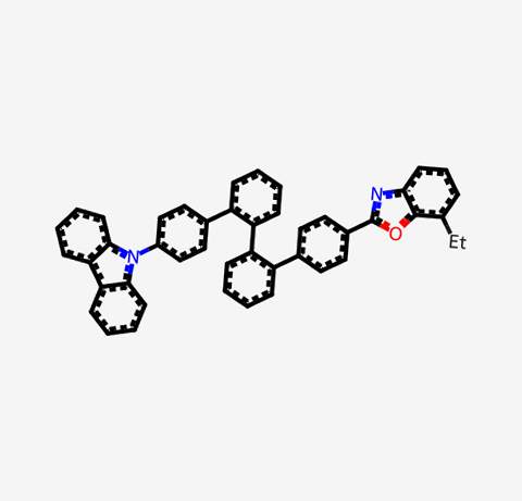 CCc1cccc2nc(-c3ccc(-c4ccccc4-c4ccccc4-c4ccc(-n5c6ccccc6c6ccccc65)cc4)cc3)oc12